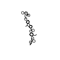 C=COC(=O)COc1ccc(OC(=O)c2ccc3c(c2)C(C)c2cc(OCCN4C(=O)C=CC4=O)ccc2-3)cc1CC